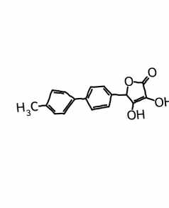 Cc1ccc(-c2ccc(C3OC(=O)C(O)=C3O)cc2)cc1